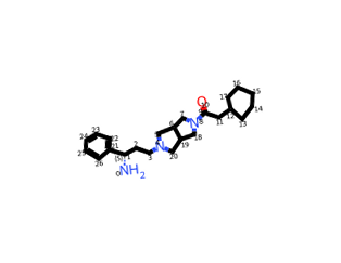 N[C@@H](CCN1CC2CN(C(=O)CC3CCCCC3)CC2C1)c1ccccc1